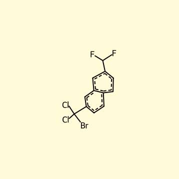 FC(F)c1ccc2ccc(C(Cl)(Cl)Br)cc2c1